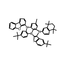 Cc1cc2c3c(c1)N(c1cccc4c1oc1ccccc14)c1cc(C(C)(C)C)ccc1B3c1sc3ccc(C(C)(C)C)cc3c1N2c1ccc2c(c1)C(C)(C)CCC2(C)C